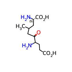 CC(CC(=O)C(N)CCC(=O)O)C[C@H](N)C(=O)O